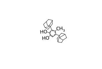 Cc1c(C23CC4CC(CC(C4)C2)C3)cc(O)c(O)c1C12CC3CC(CC(C3)C1)C2